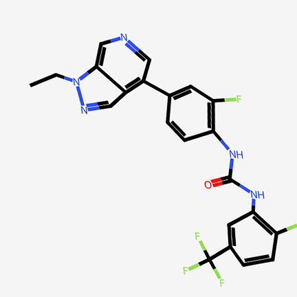 CCn1ncc2c(-c3ccc(NC(=O)Nc4cc(C(F)(F)F)ccc4F)c(F)c3)cncc21